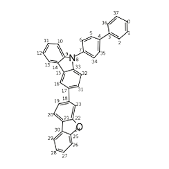 c1ccc(-c2ccc(-n3c4ccccc4c4cc(-c5ccc6c(c5)oc5ccccc56)ccc43)cc2)cc1